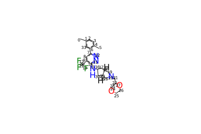 Cc1ccc(C)c(-c2cc(C(F)(F)F)c(N[C@H]3C[C@@H]4CN(C[C@@H]5COCCO5)C[C@@H]4C3)nn2)c1